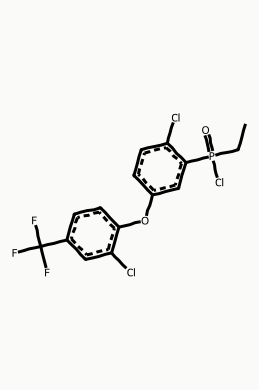 CCP(=O)(Cl)c1cc(Oc2ccc(C(F)(F)F)cc2Cl)ccc1Cl